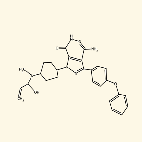 C=CC(O)N(C)C1CCC(n2nc(-c3ccc(Oc4ccccc4)cc3)c3c(N)n[nH]c(=O)c32)CC1